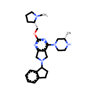 CN1CCC[C@H]1COc1nc2c(c(N3CCN[C@@H](C#N)C3)n1)CN(C1CCc3ccccc31)C2